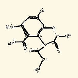 COC(=O)c1c(OC)cc(C#N)c(Br)c1N(C(=O)OC(C)(C)C)C(=O)OC(C)(C)C